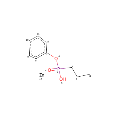 CCCP(=O)(O)Oc1ccccc1.[Zn]